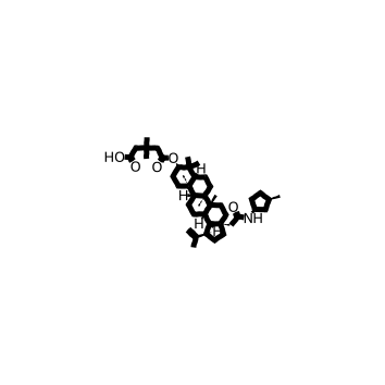 C=C(C)[C@@H]1CC[C@]2(CC(=O)N[C@H]3CC[C@@H](C)C3)CC[C@]3(C)[C@H](CC[C@@H]4[C@@]5(C)CC[C@H](OC(=O)CC(C)(C)CC(=O)O)C(C)(C)[C@@H]5CC[C@]43C)[C@@H]12